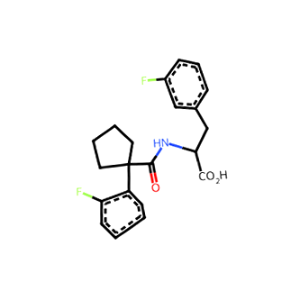 O=C(O)C(Cc1cccc(F)c1)NC(=O)C1(c2ccccc2F)CCCC1